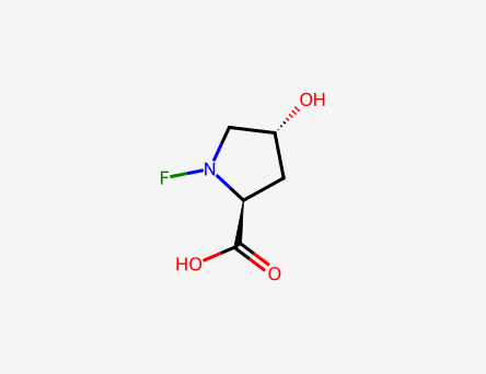 O=C(O)[C@@H]1C[C@@H](O)CN1F